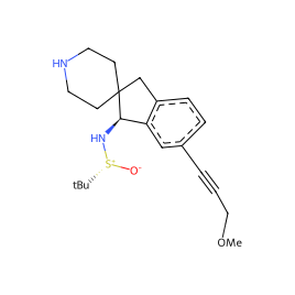 COCC#Cc1ccc2c(c1)[C@@H](N[S@+]([O-])C(C)(C)C)C1(CCNCC1)C2